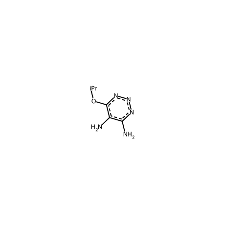 CC(C)Oc1nnnc(N)c1N